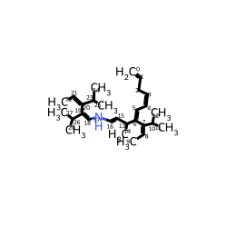 C=CC\C=C/C=C(\C(=C/C)C(C)C)C(C)/C=C/N/C=C(\C(=C/C)C(C)C)C(C)C